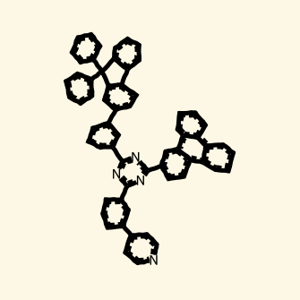 c1ccc(C2(c3ccccc3)c3ccccc3-c3ccc(-c4cccc(-c5nc(-c6cccc(-c7ccncc7)c6)nc(-c6ccc7c8ccccc8c8ccccc8c7c6)n5)c4)cc32)cc1